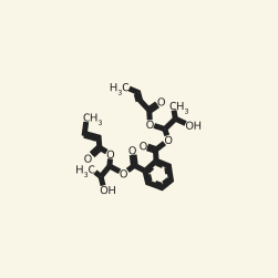 CC=CC(=O)OC(OC(=O)c1ccccc1C(=O)OC(OC(=O)C=CC)C(C)O)C(C)O